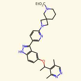 CCOC(=O)N1CCCC2(C1)CN(c1ccc(-c3n[nH]c4ccc(OC(C)c5c(C)cnnc5C)cc34)cn1)C2